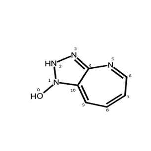 ON1NN=C2N=CC=CC=C21